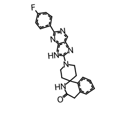 O=C1Cc2ccccc2C2(CCN(c3nc4cnc(-c5ccc(F)cc5)nc4[nH]3)CC2)N1